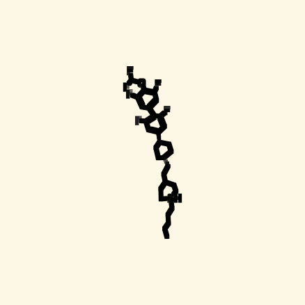 CCCCC[SiH]1CCC(CC[C@H]2CC[C@H](c3cc(F)c(-c4cc(F)c(OC(F)F)c(F)c4)c(F)c3)CC2)CC1